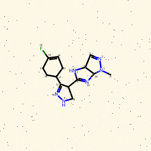 CN1N=CC2NC(C3CNN=C3C3CC=C(F)CC3)=NC21